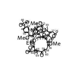 CC[C@H]1OC(=O)[C@H](C)[C@@H](O[C@H]2C[C@@](C)(OC)[C@@H](C)[C@H](C)O2)[C@H](C)[C@@H](O[C@@H]2O[C@H](C)C[C@H](N(C)CCc3cn([C@H](CF)[C@H](OC)c4ccc(S(C)(=O)=O)cc4)nn3)[C@H]2O)[C@](C)(OC)C[C@@H](C)C(=O)[C@H](C)[C@H]2CC(=O)O[C@@]21C